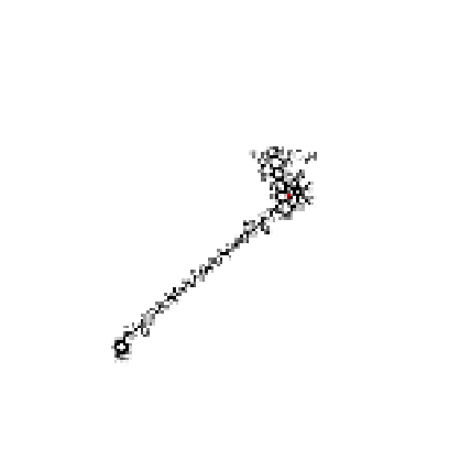 CC1(C)CC(CS(=O)(=O)O)c2cc3c(c4c2N1CCC4)Oc1cc2c(cc1C31OC(=O)c3c(Cl)c(Cl)c(Cl)c(Cl)c31)CCCN2CCCC(=O)NCCOCCOCCOCCOCCOCCOCCOCCOCCC(=O)NCCc1ccc(O)cc1